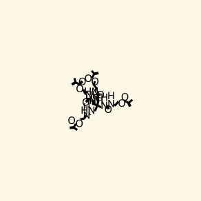 C=C(C)C(=O)OCCNCNCC(CNC(=O)NCCOC(=O)C(=C)C)(CNC(=O)NCCOC(=O)C(=C)C)CNC(=O)NCCOC(=O)C(=C)C